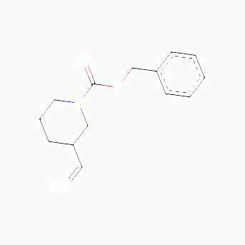 C=CC1CCCN(C(=O)OCc2ccccc2)C1